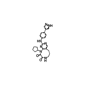 O=C1NCCCc2cnc(Nc3ccc(-c4cn[nH]c4)cc3)nc2N(C2CCCC2)C1=O